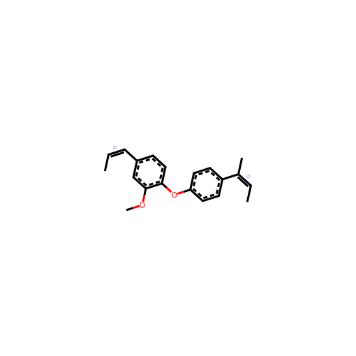 C/C=C\c1ccc(Oc2ccc(/C(C)=C\C)cc2)c(OC)c1